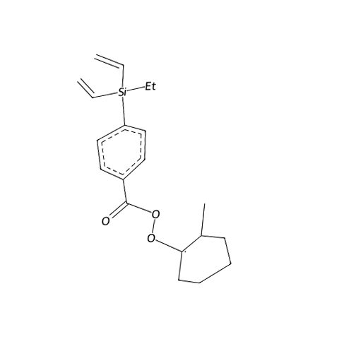 C=C[Si](C=C)(CC)c1ccc(C(=O)OO[C]2CCCCC2C)cc1